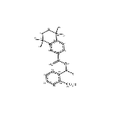 CC(OC(=O)c1ccc2c(c1)C(C)(C)CCC2(C)C)c1ccccc1C(=O)O